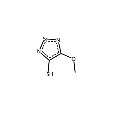 COc1nsnc1S